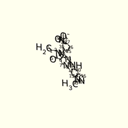 C=CCn1c(=O)c2cnc(Nc3ccc4c(cnn4C)c3)nc2n1-c1cccc([N+](=O)[O-])c1